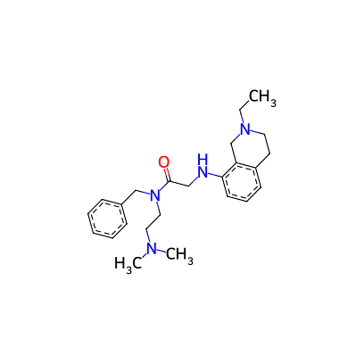 CCN1CCc2cccc(NCC(=O)N(CCN(C)C)Cc3ccccc3)c2C1